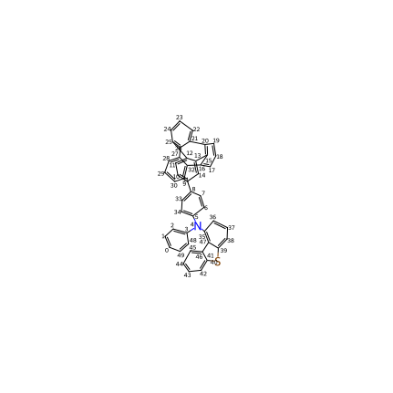 c1ccc(N(c2ccc(-c3ccc4c(c3)-c3c5cccc3-c3cccc-4c3-c3ccccc3-5)cc2)c2cccc3sc4ccccc4c23)cc1